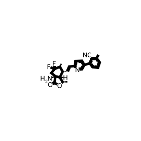 Cc1cccc(-c2ccc(/C=C/[C@@H]3[C@@H]4[C@@H](C)OC(=O)[C@]4(N)CC(F)(F)[C@H]3C)nc2)c1C#N